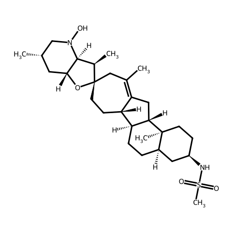 CC1=C2C[C@H]3[C@@H](CC[C@@H]4C[C@H](NS(C)(=O)=O)CC[C@@]43C)[C@@H]2CC[C@@]2(C1)O[C@@H]1C[C@H](C)CN(O)[C@H]1[C@H]2C